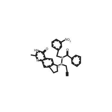 C#CCN([C@H]1CCc2cc3nc(C)[nH]c(=O)c3cc21)N(Cc1cccc([N+](=O)[O-])c1)C(=O)c1ccccc1